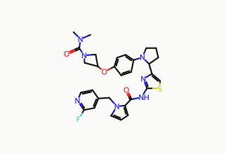 CN(C)C(=O)N1CC(Oc2ccc(N3CCCC3c3csc(NC(=O)c4cccn4Cc4ccnc(F)c4)n3)cc2)C1